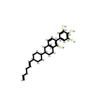 C=CCC/C=C/C1CCC(C2CCc3c(ccc(-c4cc(F)c(F)c(F)c4)c3F)C2)CC1